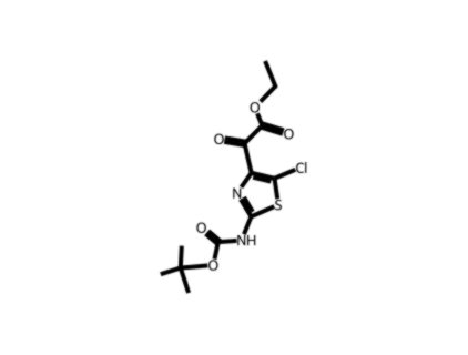 CCOC(=O)C(=O)c1nc(NC(=O)OC(C)(C)C)sc1Cl